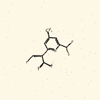 FC=C(c1cc(C(F)(F)F)cc(C(F)F)n1)C(F)F